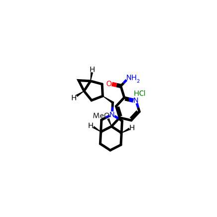 CO[C@]1(c2ccnc(C(N)=O)c2)[C@@H]2CCC[C@H]1CN(C[C@H]1C[C@@H]3C[C@@H]3C1)C2.Cl